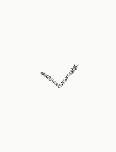 [In+3].[In+3].[In+3].[In+3].[In+3].[N-3].[N-3].[N-3].[N-3].[N-3].[N-3].[N-3].[O-2].[O-2].[O-2].[O-2].[O-2].[O-2].[O-2].[Sn+4].[Sn+4].[Sn+4].[Sn+4].[Sn+4]